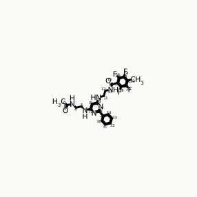 CC(=O)NCCNc1cc(NCCNC(=O)c2c(F)c(F)c(C)c(F)c2F)nc(-c2ccccc2)n1